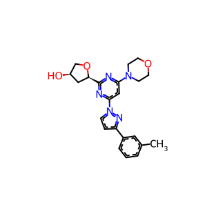 Cc1cccc(-c2ccn(-c3cc(N4CCOCC4)nc([C@H]4C[C@@H](O)CO4)n3)n2)c1